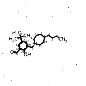 CCCCC1CCCN(Cc2cc(C(C)(C)C)cc(C=O)c2O)CC1